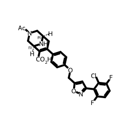 CC(=O)N1C[C@H]2CC(c3ccc(OCc4cc(-c5c(F)ccc(F)c5Cl)no4)cc3)=C(C(=O)O)[C@@H](C1)N2